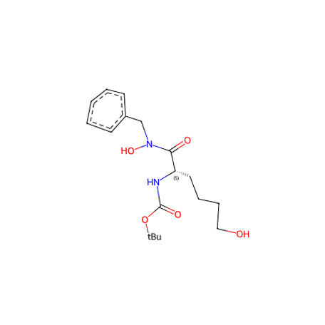 CC(C)(C)OC(=O)N[C@@H](CCCCO)C(=O)N(O)Cc1ccccc1